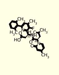 Cc1ccn([C@H](CC(C)C)C(=O)N[C@@H](CC(=O)O)c2nc(-c3c(C)cccc3C)cc(C)c2F)c(=O)c1